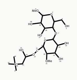 COC1OC(CO)C(OC2OC(COC(O)C[N+](C)(C)C)C(OC)C(O)C2O)C(O)C1O